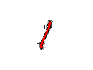 O=C(CCOCCOCCOCCOCCOCCOCCOCCOCCNC(=O)c1cc2ccc([N+](=O)[O-])cc2oc1=O)NCCc1ccc(O)cc1